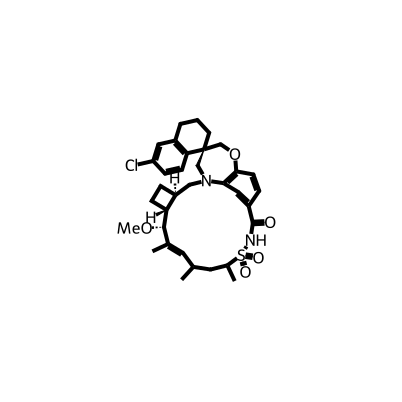 CO[C@H]1/C(C)=C/C(C)CC(C)S(=O)(=O)NC(=O)c2ccc3c(c2)N(C[C@@H]2CC[C@H]21)C[C@@]1(CCCc2cc(Cl)ccc21)CO3